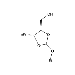 CCC[C@H]1OC(OCC)O[C@@H]1CO